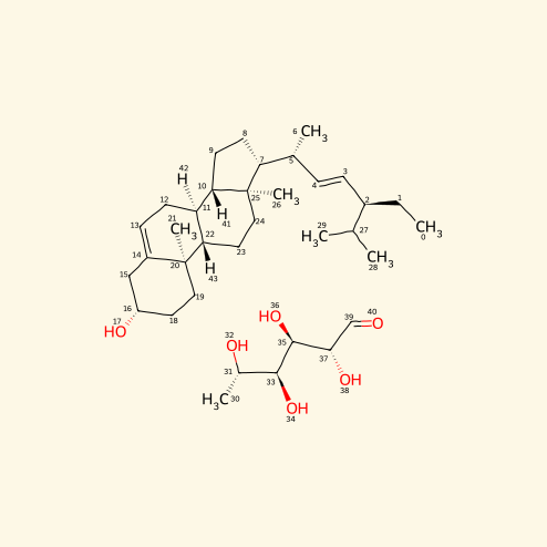 CC[C@H](/C=C/[C@@H](C)[C@H]1CC[C@H]2[C@@H]3CC=C4C[C@@H](O)CC[C@]4(C)[C@H]3CC[C@]12C)C(C)C.C[C@H](O)[C@H](O)[C@@H](O)[C@@H](O)C=O